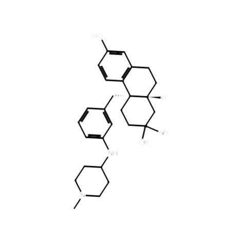 CCCC1(O)CC[C@@]2(Cc3cccc(NC4CCN(C)CC4)c3)c3ccc(O)cc3CC[C@@H]2C1